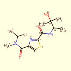 CCCC(CC)N(C)C(=O)c1csc(C(=O)NC(C)C(C)(C)O)n1